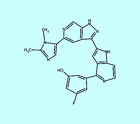 Cc1ncc(-c2cc3c(-c4cc5c(-c6cc(O)cc(F)c6)nccc5[nH]4)n[nH]c3cn2)n1C